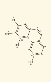 CCCc1c(O)cc(/C=C\c2ccc(O)cc2)cc1O